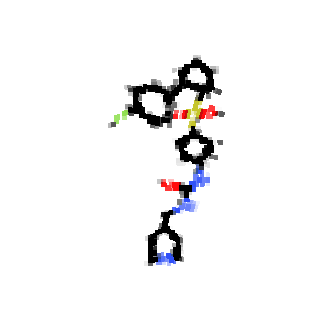 O=C(NCc1ccncc1)Nc1ccc(S(=O)(=O)c2ccccc2-c2ccc(F)cc2)cc1